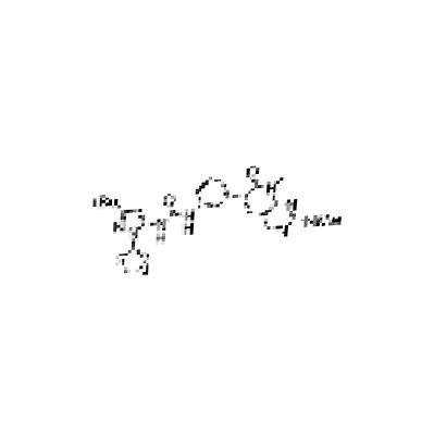 CNc1ncc2cc(-c3cccc(NC(=O)Nc4cc(C(C)(C)C)nn4-c4cncs4)c3)c(=O)n(C)c2n1